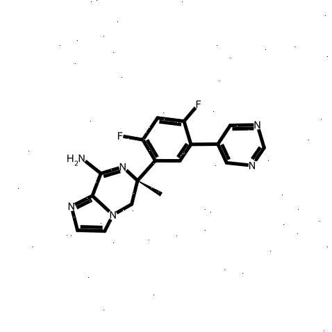 C[C@@]1(c2cc(-c3cncnc3)c(F)cc2F)Cn2ccnc2C(N)=N1